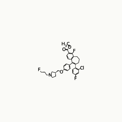 COC(=O)c1ccc2c(c1F)CCCC(c1ccc(F)cc1Cl)=C2c1ccc(OC[C@H]2CCN(CCCF)C2)cc1